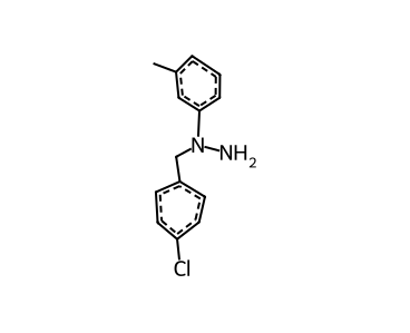 Cc1cccc(N(N)Cc2ccc(Cl)cc2)c1